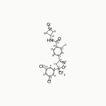 Cc1cc(C2=NO[C@](c3cc(Cl)cc(Cl)c3)(C(F)(F)F)C2)ccc1C(=O)NC1C[S+]([O-])C1